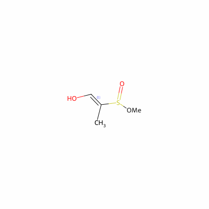 COS(=O)/C(C)=C/O